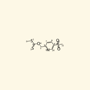 CSC(=S)OCc1ccc(S(C)(=O)=O)cn1